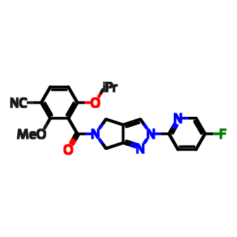 COc1c(C#N)ccc(OC(C)C)c1C(=O)N1Cc2cn(-c3ccc(F)cn3)nc2C1